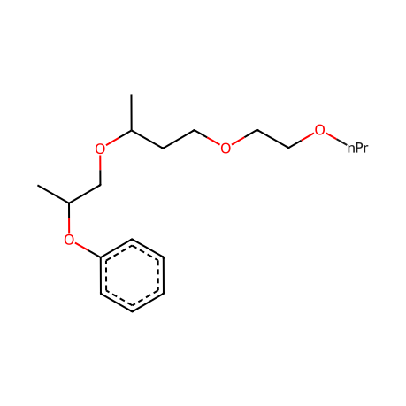 CCCOCCOCCC(C)OCC(C)Oc1ccccc1